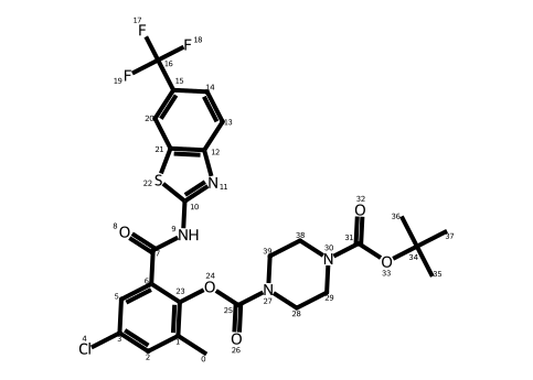 Cc1cc(Cl)cc(C(=O)Nc2nc3ccc(C(F)(F)F)cc3s2)c1OC(=O)N1CCN(C(=O)OC(C)(C)C)CC1